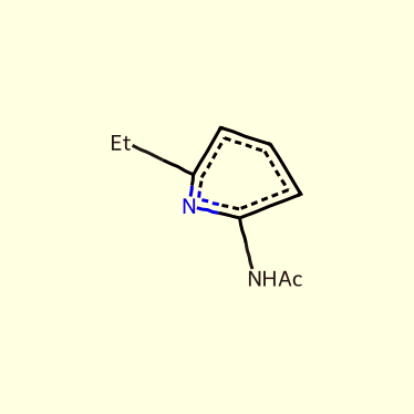 CCc1cccc(NC(C)=O)n1